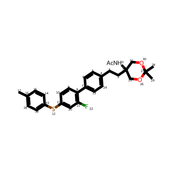 CC(=O)NC1(CCc2ccc(-c3ccc(Sc4ccc(C)cc4)cc3F)cc2)COC(C)(C)OC1